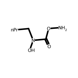 CCCCN(O)C(=O)ON